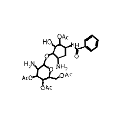 CC(=O)OCC1OC(OC2C(N)CC(NC(=O)c3ccccc3)C(OC(C)=O)C2O)C(N)C(OC(C)=O)C1OC(C)=O